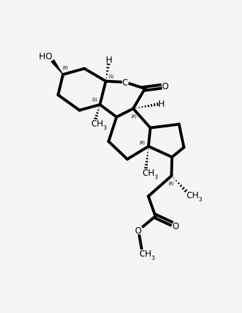 COC(=O)C[C@@H](C)C1CCC2[C@@H]3C(=O)C[C@@H]4C[C@H](O)CC[C@]4(C)C3CC[C@@]21C